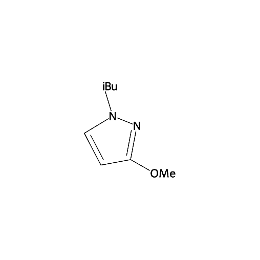 CCC(C)n1ccc(OC)n1